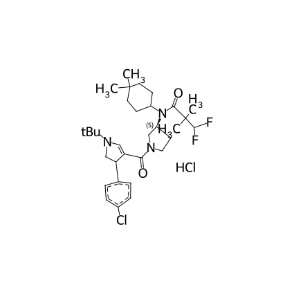 CC1(C)CCC(N(C(=O)C(C)(C)C(F)F)[C@H]2CCN(C(=O)C3=CN(C(C)(C)C)CC3c3ccc(Cl)cc3)C2)CC1.Cl